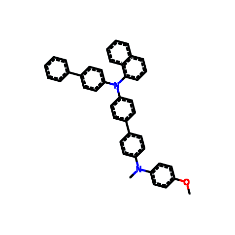 COc1ccc(N(C)c2ccc(-c3ccc(N(c4ccc(-c5ccccc5)cc4)c4cccc5ccccc45)cc3)cc2)cc1